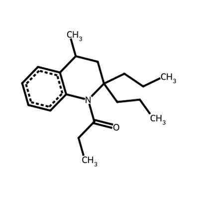 CCCC1(CCC)CC(C)c2ccccc2N1C(=O)CC